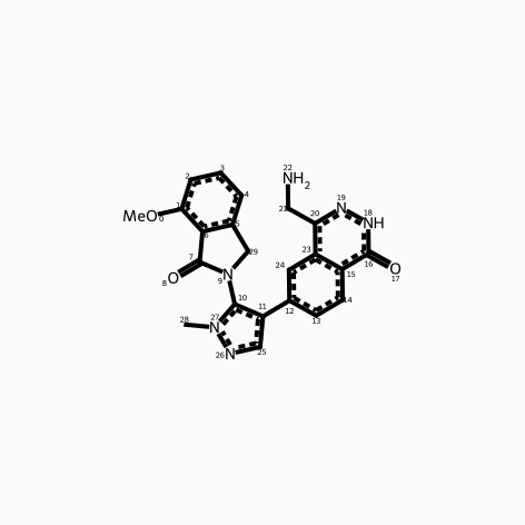 COc1cccc2c1C(=O)N(c1c(-c3ccc4c(=O)[nH]nc(CN)c4c3)cnn1C)C2